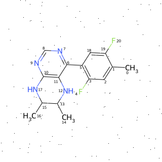 Cc1cc(F)c(-c2ncnc3c2NC(C)C(C)N3)cc1F